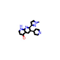 Cn1ccc(-c2nc3[nH]ccc(=O)c3cc2-c2ccncc2)n1